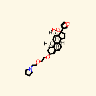 C[C@]12CCC(OCCOCCN3CCCC3)C=C1CC[C@@H]1[C@H]2CC[C@@]2(C)[C@H]1CCC2(O)c1ccoc1